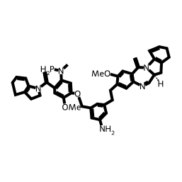 C=C(c1cc(OC)c(OCc2cc(N)cc(CCc3cc4c(cc3OC)C(=C)N3C5=C(CCC=C5)C[C@H]3C=N4)c2)cc1N(C)P)N1CCC2=C1C=CCC2